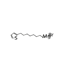 [Br][Mg][CH2]CCCCCCCc1cccs1